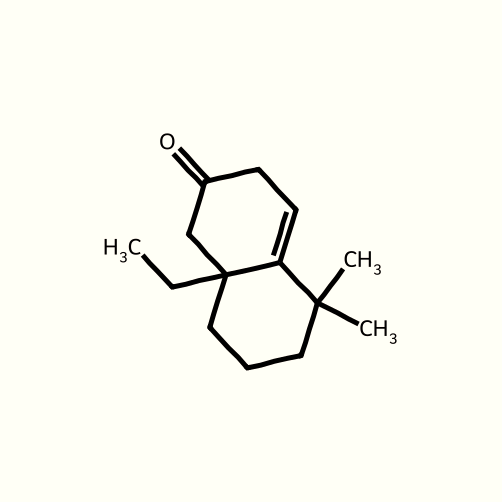 CCC12CCCC(C)(C)C1=CCC(=O)C2